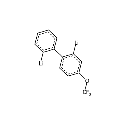 [Li][c]1ccccc1-c1ccc(OC(F)(F)F)c[c]1[Li]